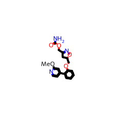 COc1cc(-c2ccccc2OCC2CC(COC(N)=O)=NO2)ccn1